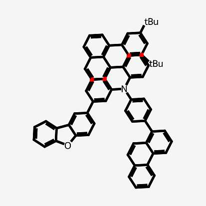 CC(C)(C)c1cc(-c2cccc3cccc(-c4ccccc4N(c4ccc(-c5cccc6c5ccc5ccccc56)cc4)c4cccc(-c5ccc6oc7ccccc7c6c5)c4)c23)cc(C(C)(C)C)c1